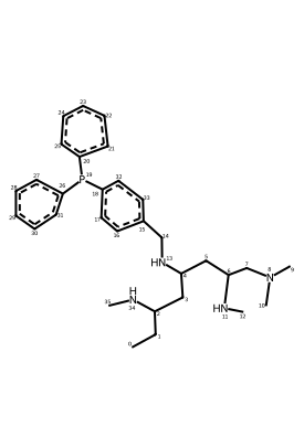 CCC(CC(CC(CN(C)C)NC)NCc1ccc(P(c2ccccc2)c2ccccc2)cc1)NC